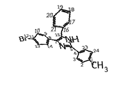 Cc1ccc(-c2nc(-c3ccc(Br)cc3)c(-c3ccccc3)[nH]2)cc1